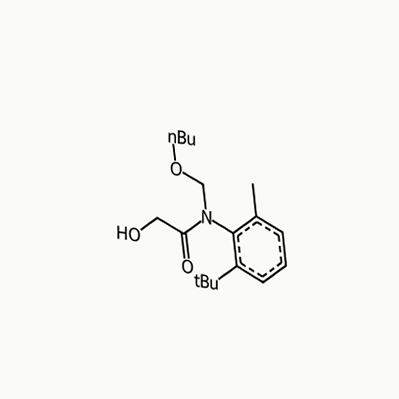 CCCCOCN(C(=O)CO)c1c(C)cccc1C(C)(C)C